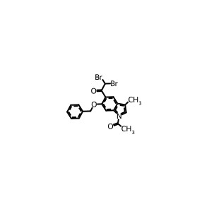 CC(=O)n1cc(C)c2cc(C(=O)C(Br)Br)c(OCc3ccccc3)cc21